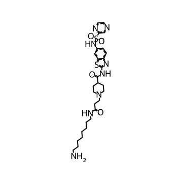 NCCCCCCCCNC(=O)CCN1CCC(C(=O)Nc2nc3ccc(NS(=O)(=O)c4cnccn4)cc3s2)CC1